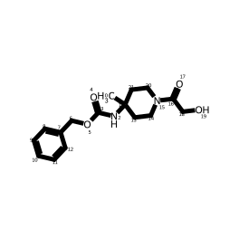 CC1(NC(=O)OCc2ccccc2)CCN(C(=O)CO)CC1